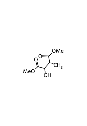 COC(=O)[C@@H](O)[C@@H](C)C(=O)OC